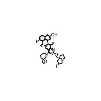 CCc1c(F)ccc2cc(O)cc(-c3c(Cl)cc4c(N5CCCC6(CCO6)C5)nc(OC[C@@]56CCCN5C[C@H](F)C6)nc4c3F)c12